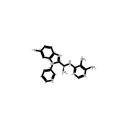 C[C@H](Nc1ncnc(N)c1N)c1nc2ccc(F)cc2n1-c1cccnc1